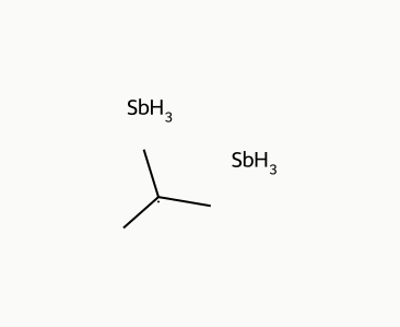 C[C](C)C.[SbH3].[SbH3]